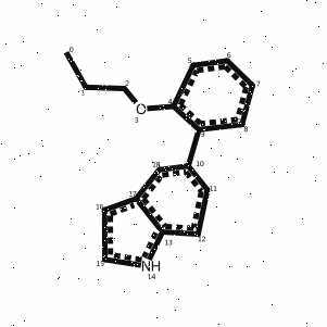 CCCOc1cc[c]cc1-c1ccc2[nH]ccc2c1